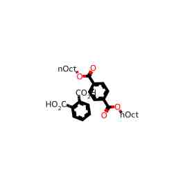 CCCCCCCCOC(=O)c1ccc(C(=O)OCCCCCCCC)cc1.O=C(O)c1ccccc1C(=O)O